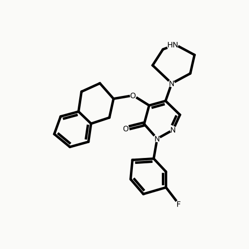 O=c1c(OC2CCc3ccccc3C2)c(N2CCNCC2)cnn1-c1cccc(F)c1